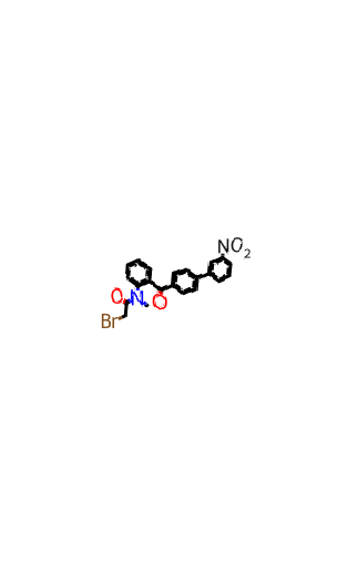 CN(C(=O)CBr)c1ccccc1C(=O)c1ccc(-c2cccc([N+](=O)[O-])c2)cc1